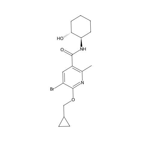 Cc1nc(OCC2CC2)c(Br)cc1C(=O)N[C@@H]1CCCC[C@H]1O